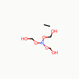 CC.OCON(OCO)OCO